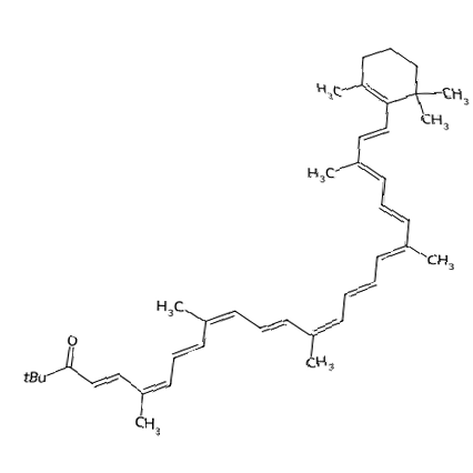 CC(C=CC=C(C)C=CC=C(C)C=CC(=O)C(C)(C)C)=CC=CC=C(C)C=CC=C(C)C=CC1=C(C)CCCC1(C)C